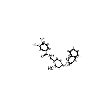 Cl.O=C(NCC1CCC(Nc2ccc3ccccc3n2)CC1)c1ccc(F)c(F)c1